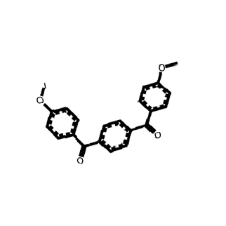 COc1ccc(C(=O)c2ccc(C(=O)c3ccc(OI)cc3)cc2)cc1